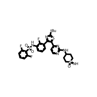 CC(C)(C)c1nc(-c2cccc(NS(=O)(=O)c3c(F)cccc3F)c2F)c(-c2ccnc(NC3CCS(=N)(=O)CC3)n2)s1